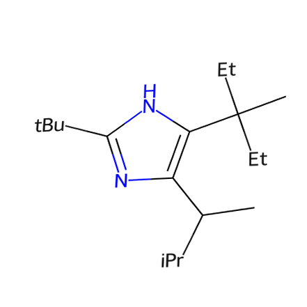 CCC(C)(CC)c1[nH]c(C(C)(C)C)nc1C(C)C(C)C